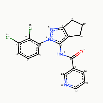 O=C(Nc1c2c(nn1-c1cccc(Cl)c1Cl)CCC2)c1cccnc1